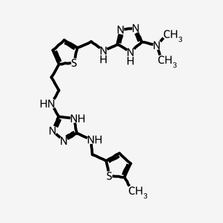 Cc1ccc(CNc2nnc(NCCc3ccc(CNc4nnc(N(C)C)[nH]4)s3)[nH]2)s1